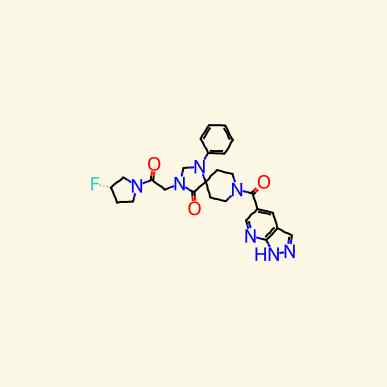 O=C(CN1CN(c2ccccc2)C2(CCN(C(=O)c3cnc4[nH]ncc4c3)CC2)C1=O)N1CC[C@H](F)C1